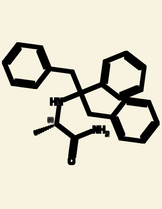 C[C@H](NC(Cc1ccccc1)(Cc1ccccc1)c1ccccc1)C(N)=O